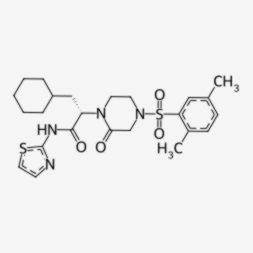 Cc1ccc(C)c(S(=O)(=O)N2CCN([C@@H](CC3CCCCC3)C(=O)Nc3nccs3)C(=O)C2)c1